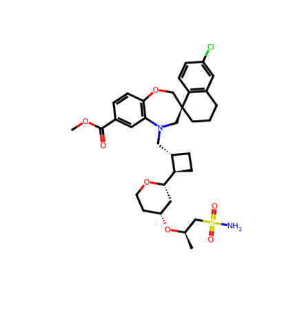 COC(=O)c1ccc2c(c1)N(C[C@@H]1CC[C@H]1[C@@H]1C[C@H](O[C@H](C)CS(N)(=O)=O)CCO1)C[C@@]1(CCCc3cc(Cl)ccc31)CO2